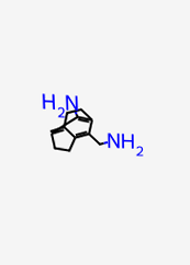 NCc1c2c(N)c3c(c1CC3)CC2